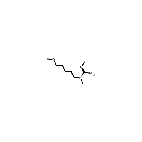 COCCCCCN(C)C(N)=NI